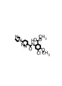 COC(=O)c1cc(OC)c(Cl)cc1NC(=O)c1ccc(-n2ccnc2)nn1